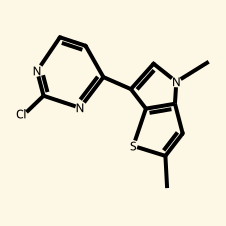 Cc1cc2c(s1)c(-c1ccnc(Cl)n1)cn2C